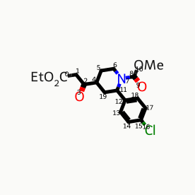 CCOC(=O)CC(=O)C1CCN(C(=O)OC)C(c2ccc(Cl)cc2)C1